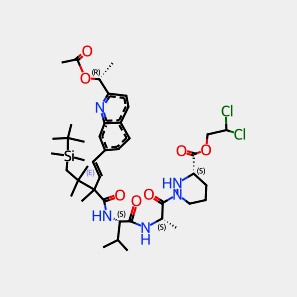 CC(=O)O[C@H](C)c1ccc2ccc(/C=C/C(C)(C(=O)N[C@H](C(=O)N[C@@H](C)C(=O)N3CCC[C@@H](C(=O)OCC(Cl)Cl)N3)C(C)C)C(C)(C)C[Si](C)(C)C(C)(C)C)cc2n1